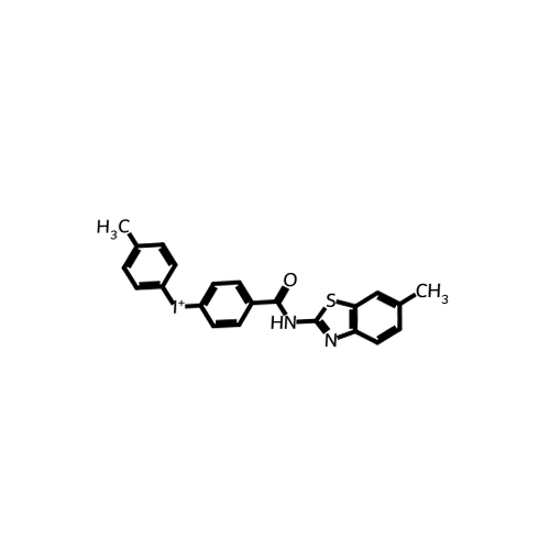 Cc1ccc([I+]c2ccc(C(=O)Nc3nc4ccc(C)cc4s3)cc2)cc1